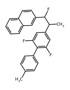 Cc1ccc(-c2c(F)cc(C(C)C(F)c3ccc4ccccc4c3)cc2F)cc1